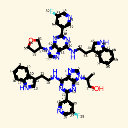 CC(CO)n1cnc2c(NCCc3c[nH]c4ccccc34)nc(-c3cncc(F)c3)nc21.Fc1cncc(-c2nc(NCCc3c[nH]c4ccccc34)c3ncn(C4CCOC4)c3n2)c1